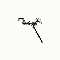 CC/C=C\C/C=C\C/C=C\C/C=C\CCCCC(=O)OC[C@H](COP(=O)(O)OC[C@H](N)C(=O)O)OC(=O)CCCCCCCCCCCCCCCCCC